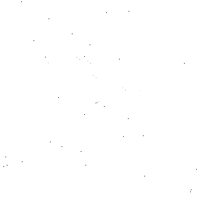 C=CC(=O)N1C[C@@H](n2cc(CN(C)C)nn2)[C@H](OCc2ccc(C(F)(F)F)cc2)C1